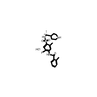 Cc1ccccc1C(=O)Nc1cc(C)c(S(=O)(=O)N[C@H](C)C2CCNCC2)cc1F.Cl